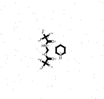 C1CCNCC1.O=C(NCOC(=O)C(F)(F)F)C(F)(F)F